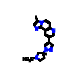 Cc1cnc2c3cc(-c4cnn([C@H]5CCN(C(=O)O)C5)c4)cnc3ccn12